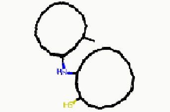 CC1CCCCCCCCCCC(NC2CCCCCCCCCCCC(S)C2)C1